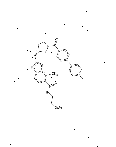 COCCNC(=O)c1ccc2nn(C[C@H]3CCN(C(=O)c4ccc(-c5ccc(F)cc5)cc4)C3)cc2c1C